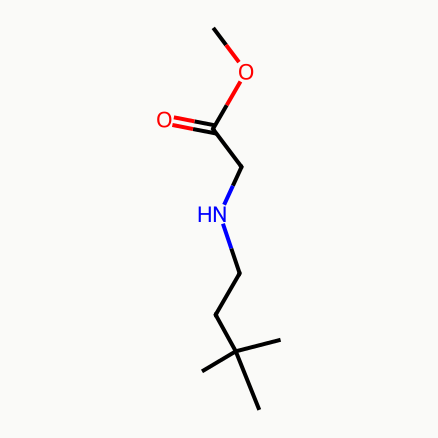 COC(=O)CNCCC(C)(C)C